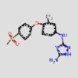 CS(=O)(=O)c1ccc(Oc2ccc(Nc3n[nH]c(N)n3)cc2C(F)(F)F)cc1